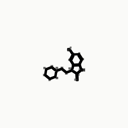 O=c1[nH]c2ccc(Cl)cc2n1CCN1CCCCC1